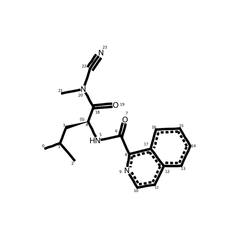 CC(C)C[C@H](NC(=O)c1nccc2ccccc12)C(=O)N(C)C#N